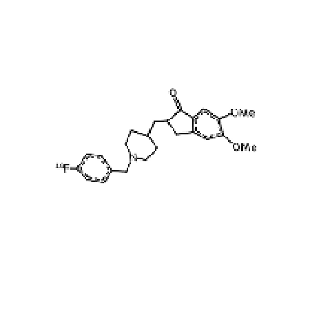 COc1cc2c(cc1OC)C(=O)C(CC1CCN(Cc3ccc([18F])cc3)CC1)C2